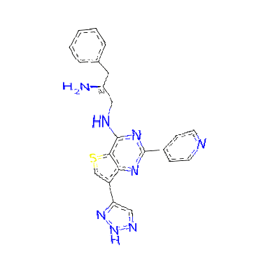 N[C@H](CNc1nc(-c2ccncc2)nc2c(-c3cn[nH]n3)csc12)Cc1ccccc1